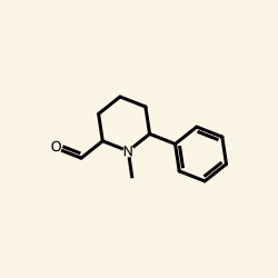 CN1C(C=O)CCCC1c1ccccc1